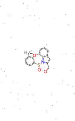 COc1cccc2cc(C=O)n([S+]([O-])c3ccccc3)c12